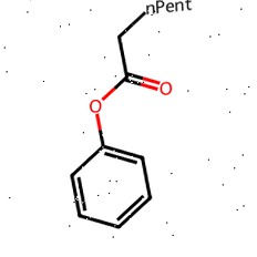 [CH2]CCCCCC(=O)Oc1ccccc1